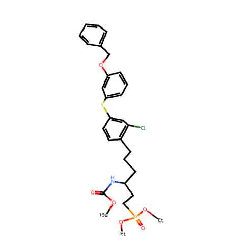 CCOP(=O)(CCC(CCCc1ccc(Sc2cccc(OCc3ccccc3)c2)cc1Cl)NC(=O)OC(C)(C)C)OCC